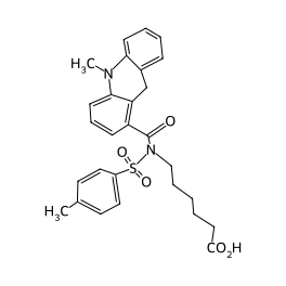 Cc1ccc(S(=O)(=O)N(CCCCCC(=O)O)C(=O)c2cccc3c2Cc2ccccc2N3C)cc1